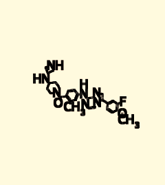 COc1ccc(C2CN=C3C(Nc4ccc(C(=O)N5CCC(NC6CNC6)CC5)c(C)c4)=NC=CN32)cc1F